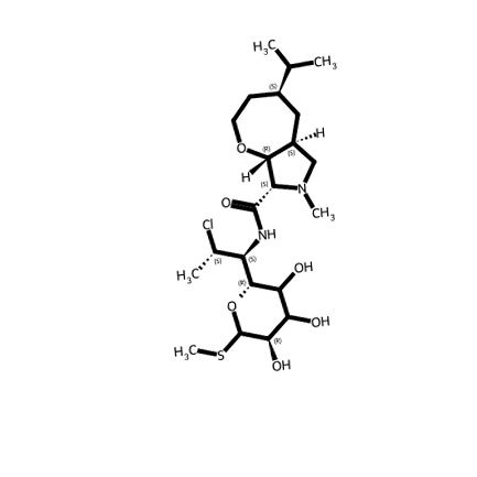 CSC1O[C@H]([C@H](NC(=O)[C@@H]2[C@@H]3OCC[C@@H](C(C)C)C[C@H]3CN2C)[C@H](C)Cl)C(O)C(O)[C@H]1O